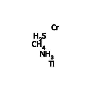 C.N.S.[Cr].[Ti]